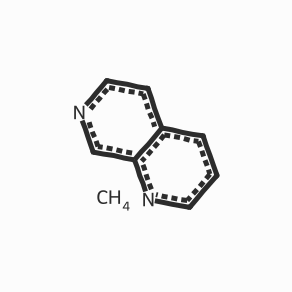 C.c1cnc2cnccc2c1